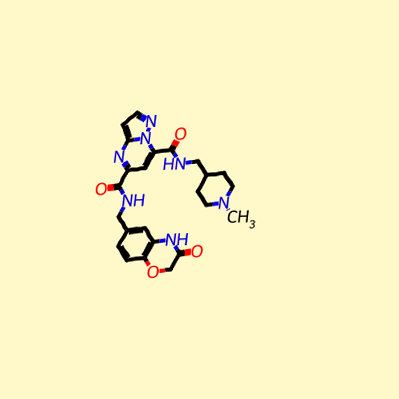 CN1CCC(CNC(=O)c2cc(C(=O)NCc3ccc4c(c3)NC(=O)CO4)nc3ccnn23)CC1